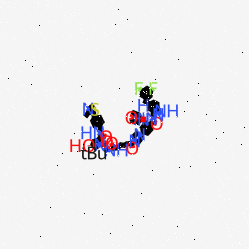 Cc1ncsc1-c1ccc(CNC(=O)C2C[C@@H](O)CN2C(=O)[C@@H](NC(=O)CCCCC(=O)N2CCN(c3ccc(C(=O)Nc4n[nH]c5ccc(Cc6cc(F)cc(F)c6)cc45)c(NC4CCOCC4)c3)CC2)C(C)(C)C)cc1